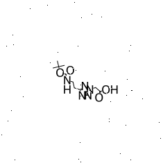 CC(C)(C)OC(=O)NCCc1nnn(CC(=O)O)n1